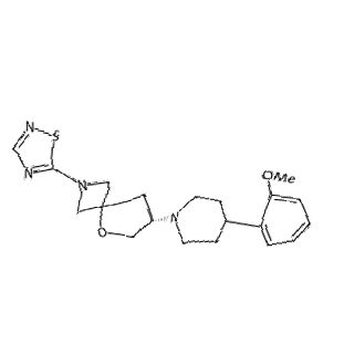 COc1ccccc1C1CCN([C@@H]2COC3(C2)CN(c2ncns2)C3)CC1